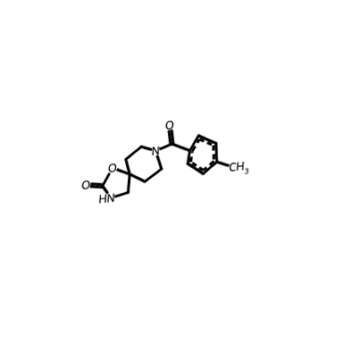 Cc1ccc(C(=O)N2CCC3(CC2)CNC(=O)O3)cc1